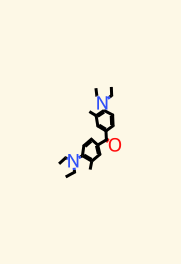 CCN(CC)c1ccc(C(=O)c2ccc(N(CC)CC)c(C)c2)cc1C